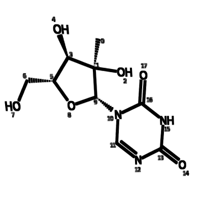 C[C@@]1(O)[C@H](O)[C@@H](CO)O[C@H]1n1cnc(=O)[nH]c1=O